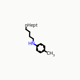 CCCCCCCCCCCNc1ccc(C)cc1